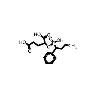 CCCC(c1ccccc1)P(=O)(O)OC(CCC(=O)O)C(=O)O